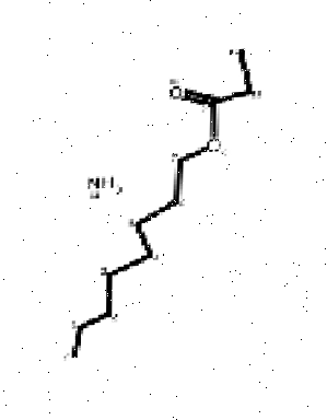 CCCCCCCCOC(=O)CC.N